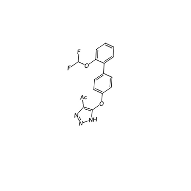 CC(=O)c1nn[nH]c1Oc1ccc(-c2ccccc2OC(F)F)cc1